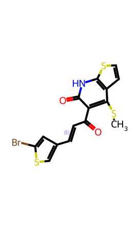 CSc1c(C(=O)/C=C/c2csc(Br)c2)c(=O)[nH]c2sccc12